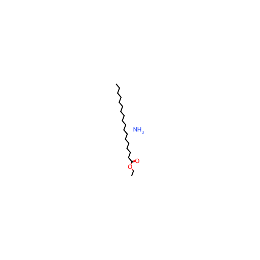 CCCCCCCCCCCCCCCCCC(=O)OCC.N